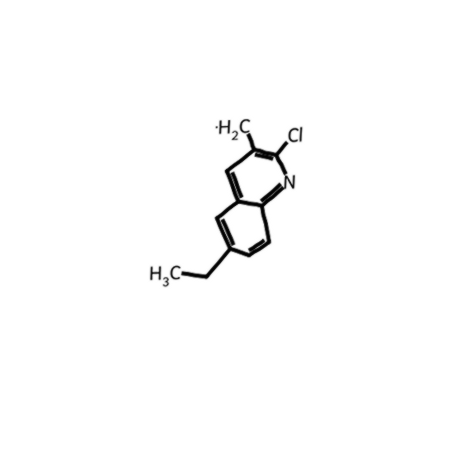 [CH2]c1cc2cc(CC)ccc2nc1Cl